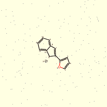 [CH]1C(c2ccco2)=Cc2ccccc21.[Zr]